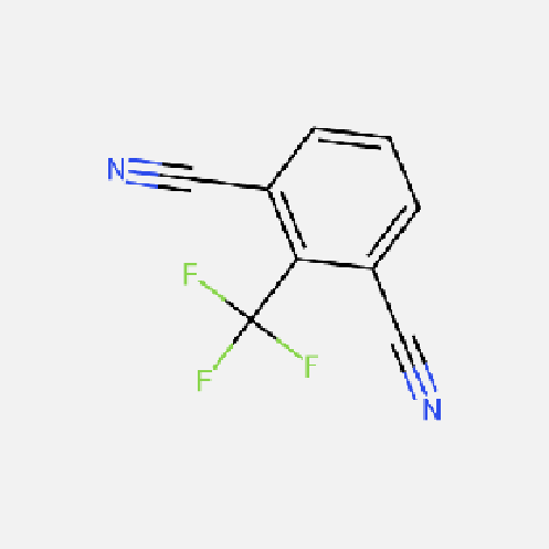 N#Cc1cccc(C#N)c1C(F)(F)F